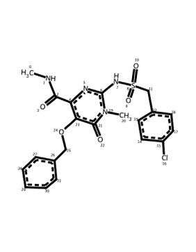 CNC(=O)c1nc(NS(=O)(=O)Cc2ccc(Cl)cc2)n(C)c(=O)c1OCc1ccccc1